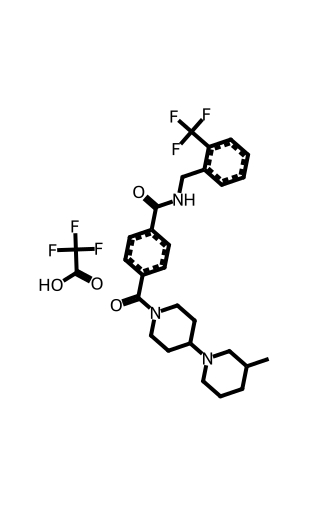 CC1CCCN(C2CCN(C(=O)c3ccc(C(=O)NCc4ccccc4C(F)(F)F)cc3)CC2)C1.O=C(O)C(F)(F)F